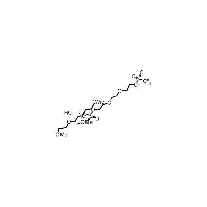 COC.COCCOCCOCCOC.Cl.O=S(=O)(OCCOCCOCCOS(=O)(=O)C(F)(F)F)C(F)(F)F